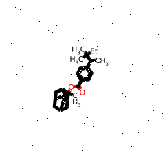 CCC(C)(C)C(C)c1ccc(C(=O)OC2(C)C3CC4CC(C3)CC2C4)cc1